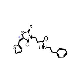 O=C(CCN1C(=O)/C(=C\c2cccs2)SC1=S)NCCc1ccccc1